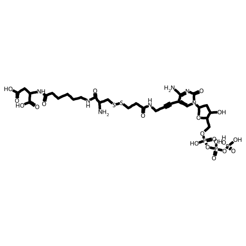 Nc1nc(=O)n(C2CC(O)C(COP(=O)(O)OP(=O)(O)OP(=O)(O)O)O2)cc1C#CCNC(=O)CCSSCC(N)C(=O)NCCCCCC(=O)NC(CC(=O)O)C(=O)O